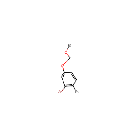 CCOCOc1ccc(CC)c(Br)c1